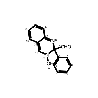 O=CC1(c2ccccc2)N=c2ccccc2=CN1O